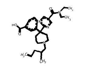 CCCC(C)CN1CCC(c2cccc(C(=O)O)c2)(c2ncc(C(=O)N(CC)CC)cn2)CC1